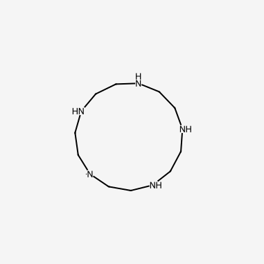 C1CNCCNCCNCCNCC[N]1